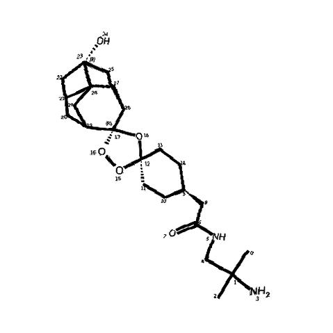 CC(C)(N)CNC(=O)C[C@H]1CC[C@]2(CC1)OO[C@]1(O2)C2CC3C[C@@]4(O)CC1CC34C2